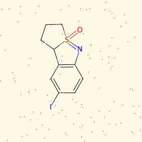 O=S12=Nc3ccc(I)cc3C1CCC2